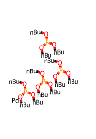 CCCCOP(OCCCC)OCCCC.CCCCOP(OCCCC)OCCCC.CCCCOP(OCCCC)OCCCC.CCCCOP(OCCCC)OCCCC.[Pd]